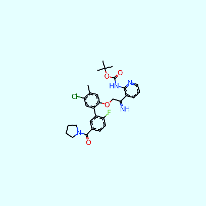 Cc1cc(OCC(=N)c2cccnc2NC(=O)OC(C)(C)C)c(-c2cc(C(=O)N3CCCC3)ccc2F)cc1Cl